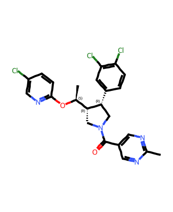 Cc1ncc(C(=O)N2C[C@H]([C@H](C)Oc3ccc(Cl)cn3)[C@H](c3ccc(Cl)c(Cl)c3)C2)cn1